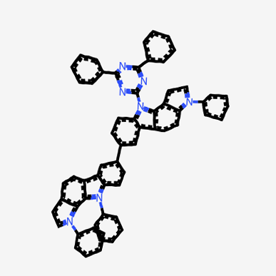 c1ccc(-c2nc(-c3ccccc3)nc(-n3c4ccc(-c5ccc6c(c5)c5ccc7ccn(-c8ccccc8)c7c5n6-c5ccccc5)cc4c4ccc5c(ccn5-c5ccccc5)c43)n2)cc1